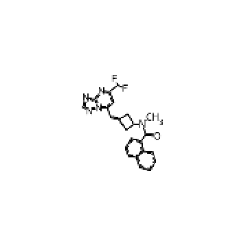 CN(C(=O)c1cccc2ccccc12)C1CC(=Cc2cc(C(F)F)nc3ncnn23)C1